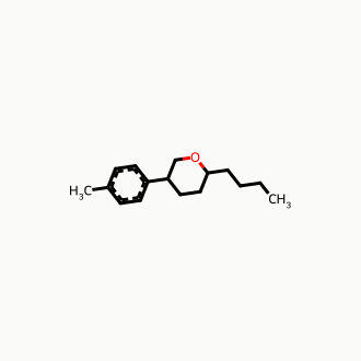 CCCCC1CCC(c2ccc(C)cc2)CO1